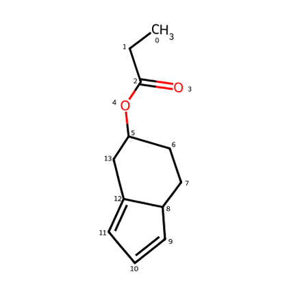 CCC(=O)OC1CCC2C=CC=C2C1